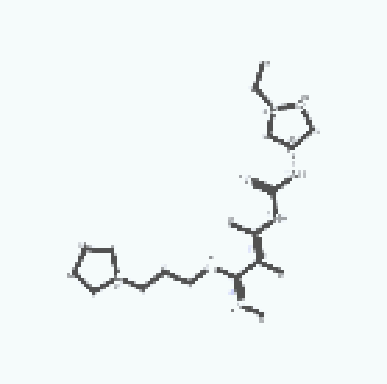 CCN1C[C@@H](NC(=O)N/C(C)=C(C)/C(=N\C)OCCCN2CCCC2)CO1